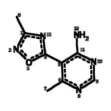 Cc1noc(-c2c(C)ncnc2N)n1